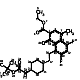 CCOC(=O)c1cn(C)c2c(F)cc(F)c(CC[C@H]3CC[C@H](NC(=O)OC(C)(C)C)CC3)c2c1=O